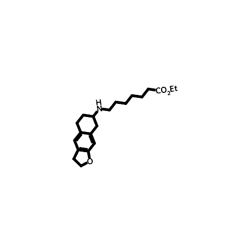 CCOC(=O)CCCCCCNC1CCc2cc3c(cc2C1)OCC3